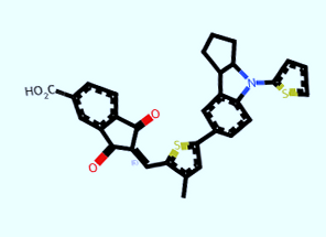 Cc1cc(-c2ccc3c(c2)C2CCCC2N3c2cccs2)sc1/C=C1\C(=O)c2ccc(C(=O)O)cc2C1=O